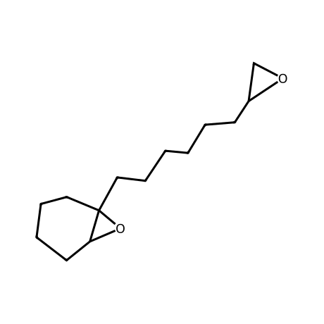 C(CCCC12CCCCC1O2)CCC1CO1